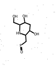 O=PCC1NC(CO)C(O)CC1O